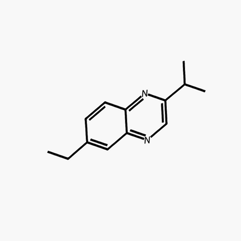 CCc1ccc2nc(C(C)C)cnc2c1